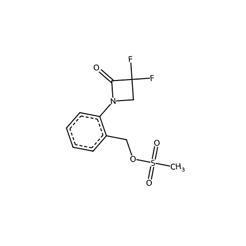 CS(=O)(=O)OCc1ccccc1N1CC(F)(F)C1=O